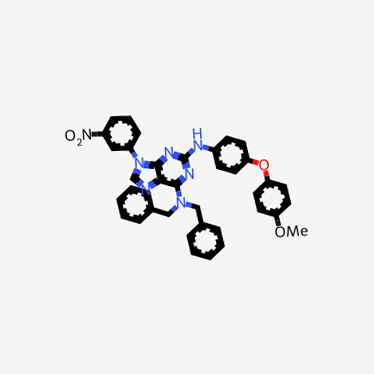 COc1ccc(Oc2ccc(Nc3nc(N(Cc4ccccc4)Cc4ccccc4)c4ncn(-c5cccc([N+](=O)[O-])c5)c4n3)cc2)cc1